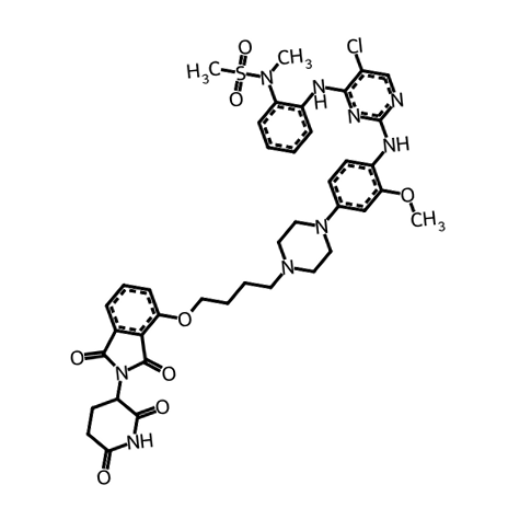 COc1cc(N2CCN(CCCCOc3cccc4c3C(=O)N(C3CCC(=O)NC3=O)C4=O)CC2)ccc1Nc1ncc(Cl)c(Nc2ccccc2N(C)S(C)(=O)=O)n1